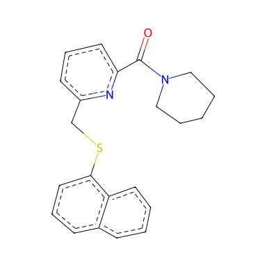 O=C(c1cccc(CSc2cccc3ccccc23)n1)N1CCCCC1